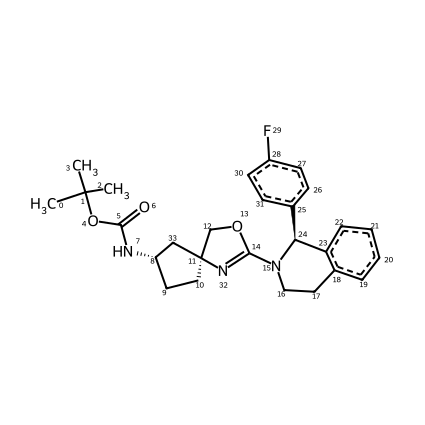 CC(C)(C)OC(=O)N[C@H]1CC[C@@]2(COC(N3CCc4ccccc4[C@@H]3c3ccc(F)cc3)=N2)C1